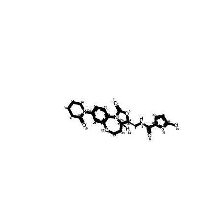 O=C(NC[C@@H]1OC(=O)N2c3ccc(N4CCCCC4=O)cc3OCC[C@@H]12)c1ccc(Cl)s1